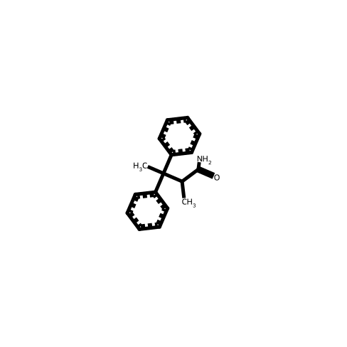 CC(C(N)=O)C(C)(c1ccccc1)c1ccccc1